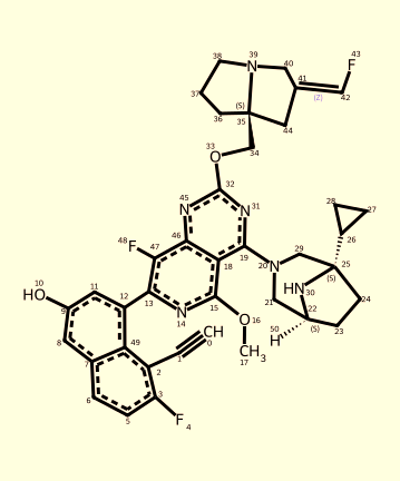 C#Cc1c(F)ccc2cc(O)cc(-c3nc(OC)c4c(N5C[C@@H]6CC[C@](C7CC7)(C5)N6)nc(OC[C@@]56CCCN5C/C(=C\F)C6)nc4c3F)c12